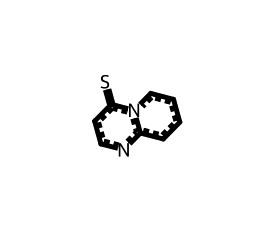 S=c1ccnc2ccccn12